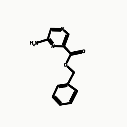 Nc1cncc(C(=O)OCc2ccccc2)n1